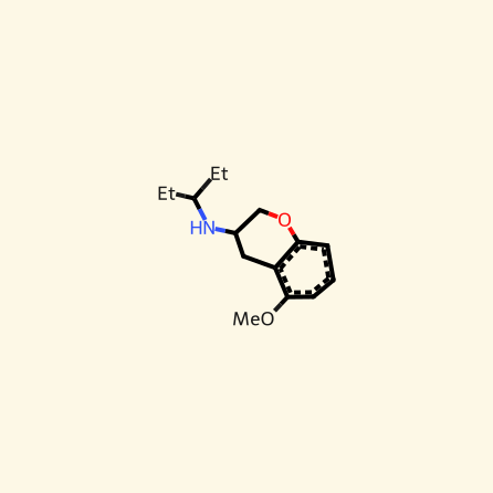 CCC(CC)NC1COc2cccc(OC)c2C1